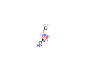 Cn1c(-c2ccc3ncccc3c2)cc(C(=O)NCCCc2ccc(Cl)c(Cl)c2)c(O)c1=O